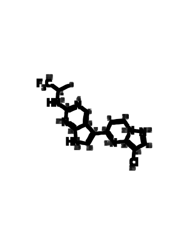 CC(Nc1ncc2c(-c3ccn4ncc(Cl)c4n3)c[nH]c2n1)C(F)(F)F